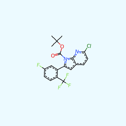 CC(C)(C)OC(=O)n1c(-c2cc(F)ccc2C(F)(F)F)cc2ccc(Cl)nc21